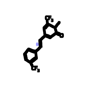 CC1C(=O)C=C(/C=C/c2cccc(C(F)(F)F)c2)C=C1C(F)(F)F